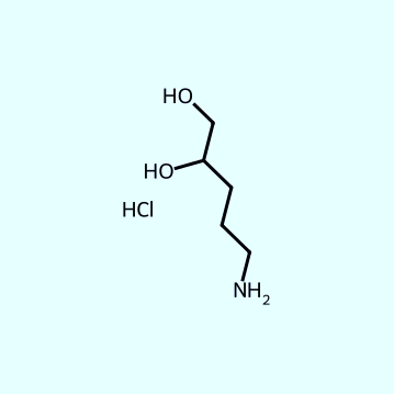 Cl.NCCCC(O)CO